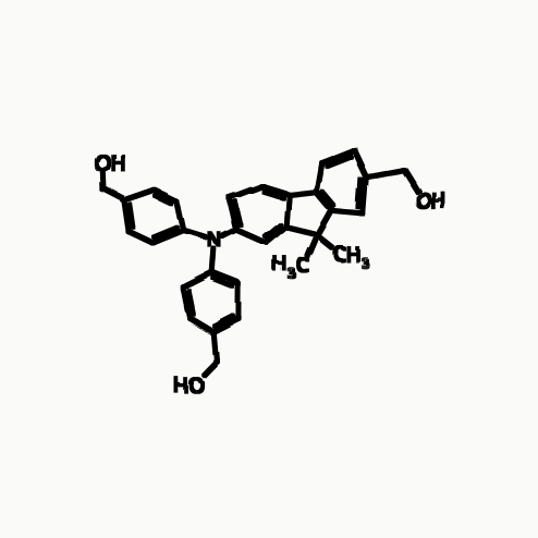 CC1(C)c2cc(CO)ccc2-c2ccc(N(c3ccc(CO)cc3)c3ccc(CO)cc3)cc21